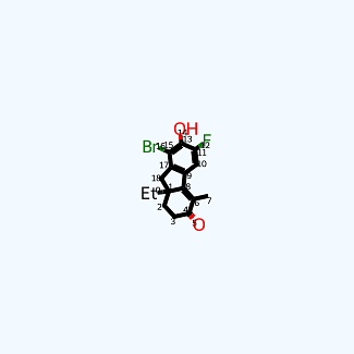 CCC12CCC(=O)C(C)=C1c1cc(F)c(O)c(Br)c1C2